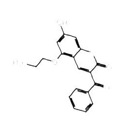 CCCOc1cc(O)cc2oc(=O)c(C(=O)c3ccccc3)cc12